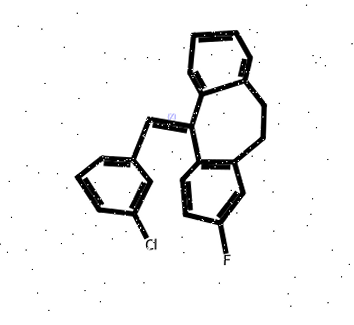 Fc1ccc2c(c1)CCc1ccccc1/C2=C/c1cccc(Cl)c1